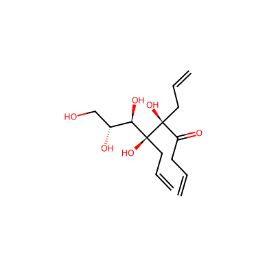 C=CCC(=O)[C@@](O)(CC=C)[C@](O)(CC=C)[C@H](O)[C@H](O)CO